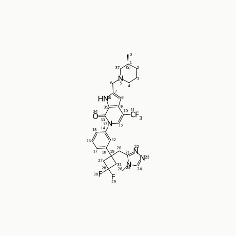 C[C@H]1CCCN(Cc2cc3c(C(F)(F)F)cn(-c4cccc(C5(Cc6nncn6C)CC(F)(F)C5)c4)c(=O)c3[nH]2)C1